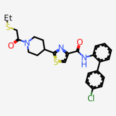 CCSCC(=O)N1CCC(c2nc(C(=O)Nc3ccccc3-c3ccc(Cl)cc3)cs2)CC1